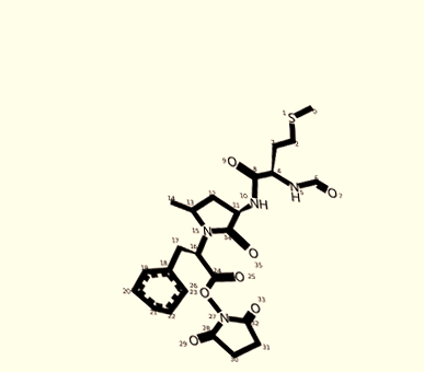 CSCC[C@@H](NC=O)C(=O)N[C@@H]1CC(C)N([C@H](Cc2ccccc2)C(=O)ON2C(=O)CCC2=O)C1=O